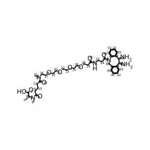 C[C@@H](C(=O)O)N(C)C(=O)CCCC(=O)N(C)CCOCCOCCOCCOCCC(=O)NCCC(=O)N1Cc2ccccc2C(N)C(N)c2ccccc21